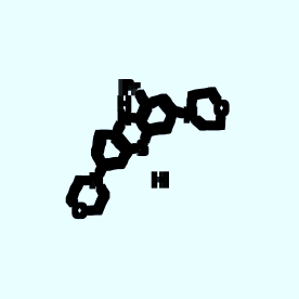 CC(C)c1cc(N2CCOCC2)cc2c1Nc1ccc(N3CCOCC3)cc1S2.I